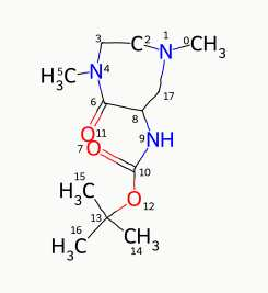 CN1CCN(C)C(=O)C(NC(=O)OC(C)(C)C)C1